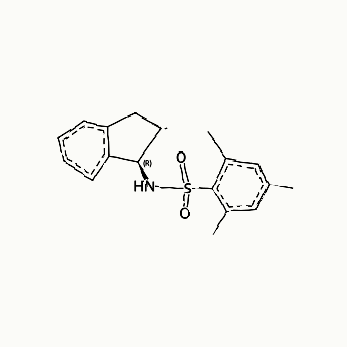 Cc1cc(C)c(S(=O)(=O)N[C@@H]2[CH]Cc3ccccc32)c(C)c1